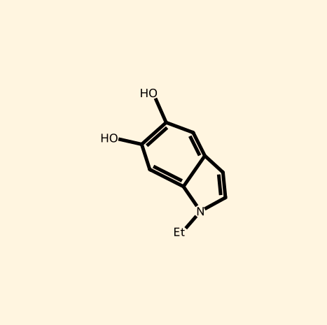 CCn1ccc2cc(O)c(O)cc21